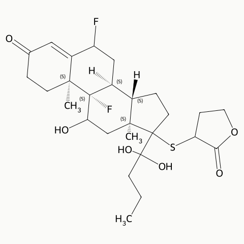 CCCC(O)(O)C1(SC2CCOC2=O)CC[C@H]2[C@@H]3CC(F)C4=CC(=O)CC[C@]4(C)[C@]3(F)C(O)C[C@@]21C